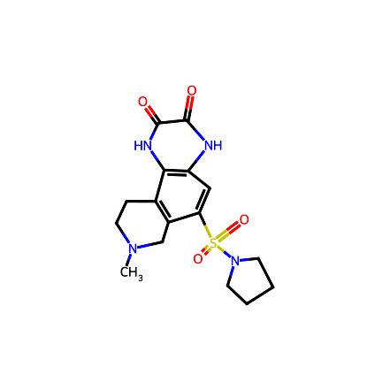 CN1CCc2c(c(S(=O)(=O)N3CCCC3)cc3[nH]c(=O)c(=O)[nH]c23)C1